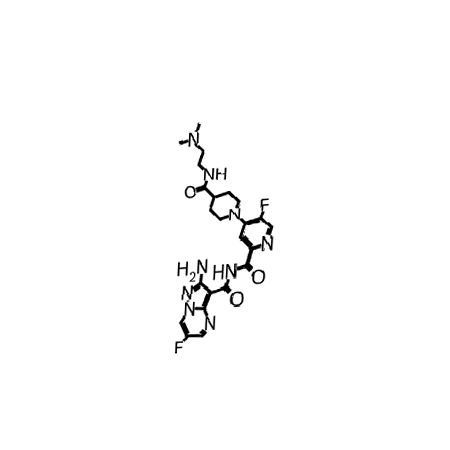 CN(C)CCNC(=O)C1CCN(c2cc(C(=O)NC(=O)c3c(N)nn4cc(F)cnc34)ncc2F)CC1